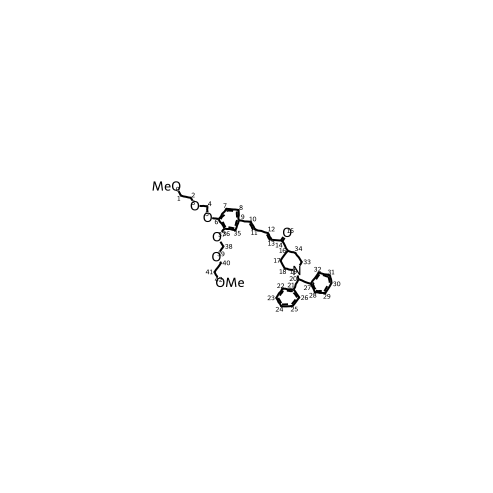 COCCOCOc1ccc(C=CC=CC(=O)C2CCN(C(c3ccccc3)c3ccccc3)CC2)cc1OCOCCOC